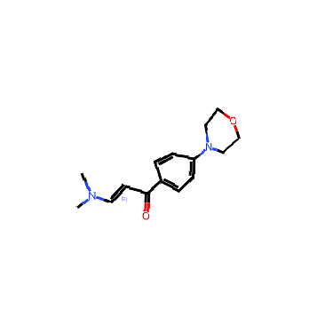 CN(C)/C=C/C(=O)c1ccc(N2CCOCC2)cc1